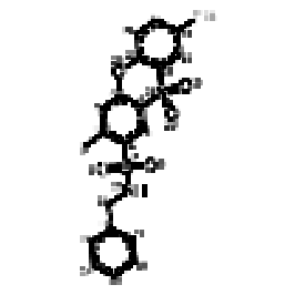 Cc1cc2c(cc1S(=O)(=O)NCc1ccccc1)S(=O)(=O)c1cc(F)ccc1O2